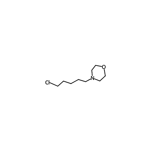 ClCCCCCN1CCOCC1